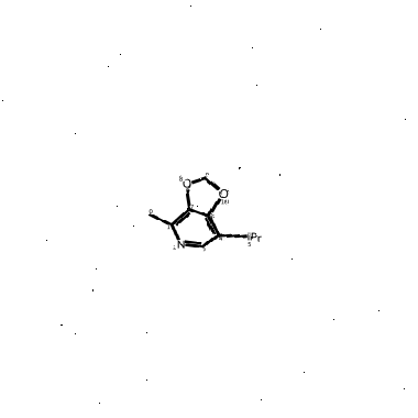 Cc1ncc(C(C)C)c2c1OCO2